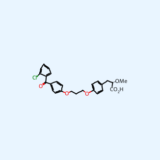 CO[C@@H](Cc1ccc(OCCCOc2ccc(C(=O)c3ccccc3Cl)cc2)cc1)C(=O)O